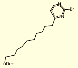 CCCCCCCCCCCCCCCCCCCCc1ccnc(Br)n1